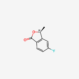 C[C@@H]1OC(=O)c2ccc(F)cc21